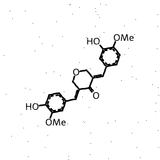 COc1ccc(/C=C2\COC/C(=C\c3ccc(O)c(OC)c3)C2=O)cc1O